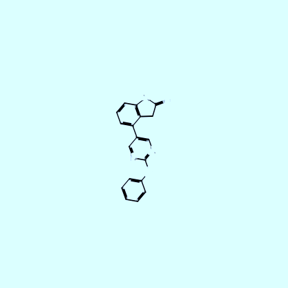 O=C1Cc2c(cccc2-c2cnc(Oc3ccccc3)nc2)N1